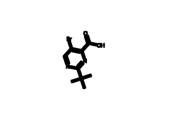 CC(C)(C)c1ncc(Br)c(C(=O)O)n1